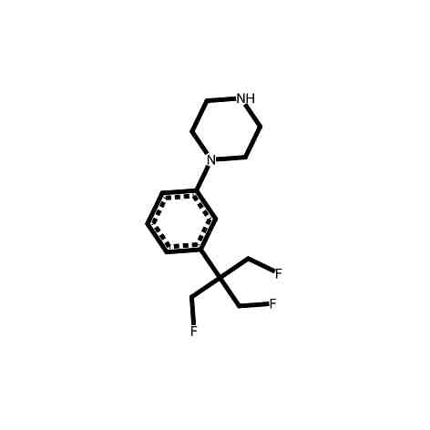 FCC(CF)(CF)c1cccc(N2CCNCC2)c1